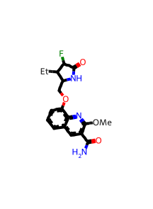 CCC1C(COc2cccc3cc(C(N)=O)c(OC)nc23)NC(=O)C1F